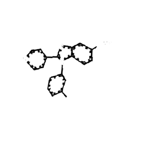 COc1ccc2c(c1)nc(-c1ccncc1)n2-c1cccc(C=O)c1